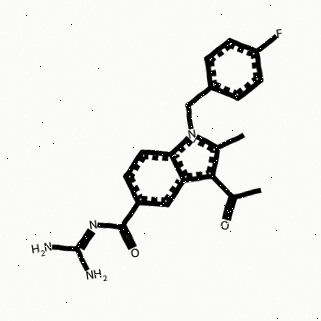 CC(=O)c1c(C)n(Cc2ccc(F)cc2)c2ccc(C(=O)N=C(N)N)cc12